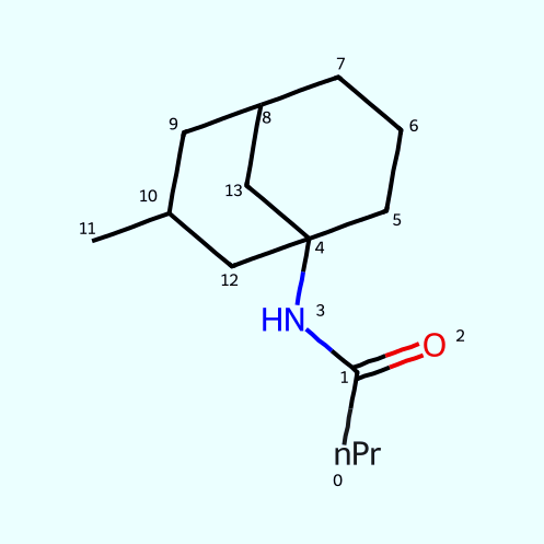 CCCC(=O)NC12CCCC(CC(C)C1)C2